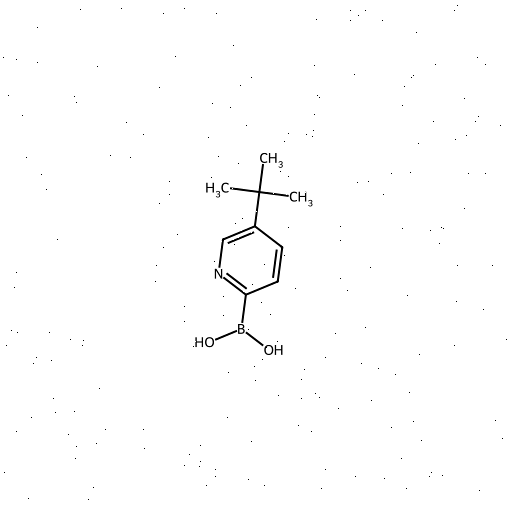 CC(C)(C)c1ccc(B(O)O)nc1